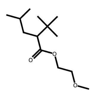 COCCOC(=O)C(CC(C)C)C(C)(C)C